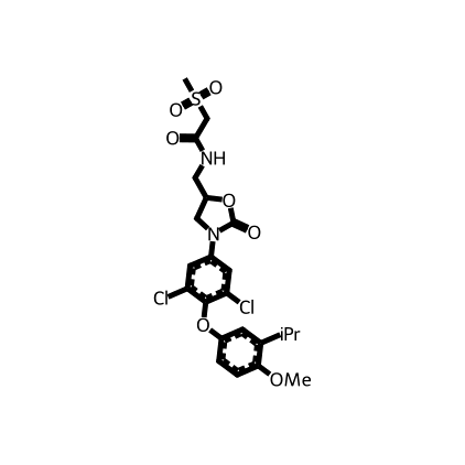 COc1ccc(Oc2c(Cl)cc(N3CC(CNC(=O)CS(C)(=O)=O)OC3=O)cc2Cl)cc1C(C)C